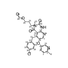 Cc1ccc(Oc2cnc3c(c2Cc2ccc(Cl)cc2)C(=O)[N+](C)(CCCOC=O)C(=O)N3)cn1